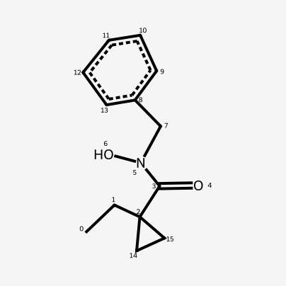 CCC1(C(=O)N(O)Cc2ccccc2)CC1